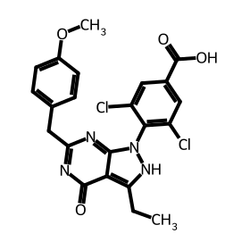 CCc1[nH]n(-c2c(Cl)cc(C(=O)O)cc2Cl)c2nc(Cc3ccc(OC)cc3)nc(=O)c1-2